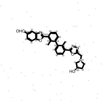 Cc1c(-c2nnc(CN3CC[C@@H](O)C3)o2)cccc1-c1cccc(-c2nc3cc(C=O)ccc3o2)c1C